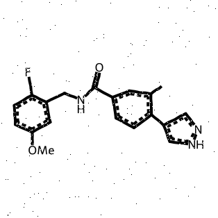 COc1ccc(F)c(CNC(=O)c2ccc(-c3cn[nH]c3)c(C)c2)c1